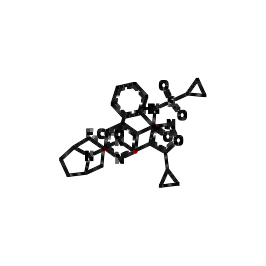 O=C(NS(=O)(=O)C1CC1)c1ccc(N2C3CCC2CC(NCc2c(-c4ccccc4OC(F)(F)F)noc2C2CC2)C3)nc1